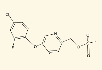 CS(=O)(=O)OCc1cnc(Oc2ccc(Cl)cc2F)cn1